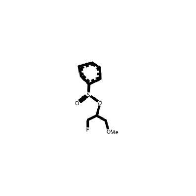 COCC(CF)OS(=O)c1ccccc1